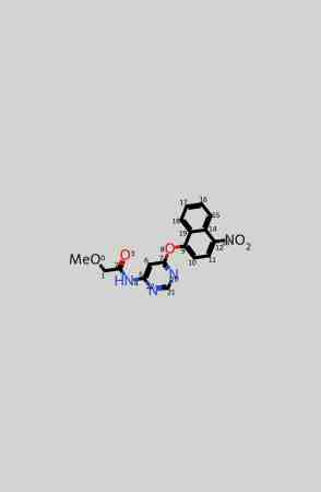 COCC(=O)Nc1cc(Oc2ccc([N+](=O)[O-])c3ccccc23)ncn1